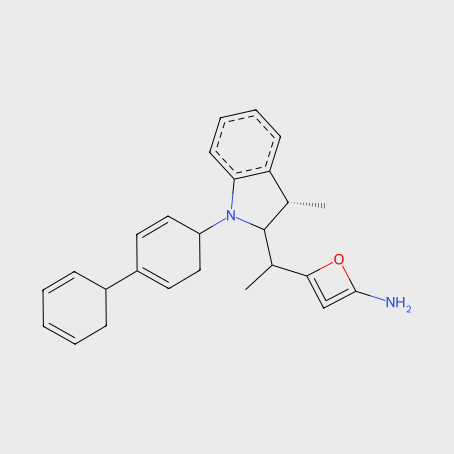 CC(C1=C=C(N)O1)C1[C@@H](C)c2ccccc2N1C1C=CC(C2C=CC=CC2)=CC1